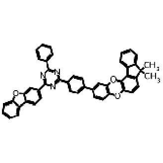 CC1(C)c2ccccc2-c2c1ccc1c2Oc2cc(-c3ccc(-c4nc(-c5ccccc5)nc(-c5ccc6c(c5)oc5ccccc56)n4)cc3)ccc2O1